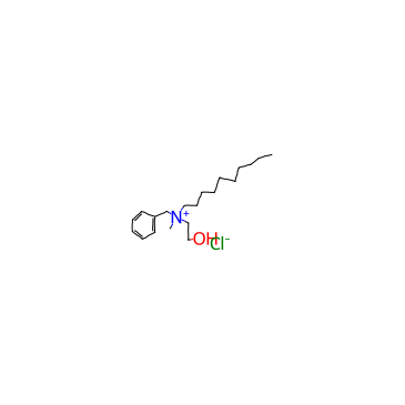 CCCCCCCCCC[N+](C)(CCO)Cc1ccccc1.[Cl-]